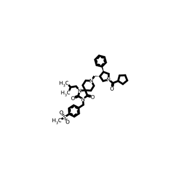 CC(C)CN1C(=O)N(Cc2ccc(S(C)(=O)=O)cc2)C(=O)C12CCN(C[C@H]1CN(C(=O)C3CCCC3)C[C@@H]1c1ccccc1)CC2